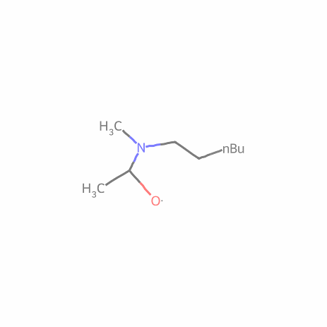 CCCCCCN(C)C(C)[O]